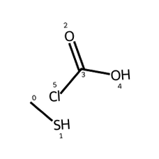 CS.O=C(O)Cl